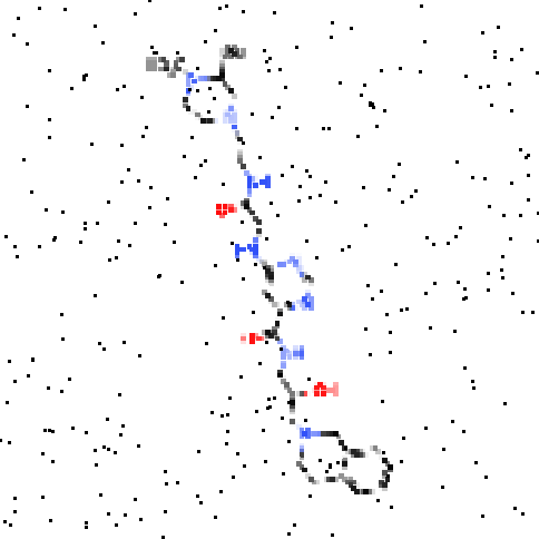 CC(C)(C)C1CN(CCNC(=O)CNc2cc(C(=O)NCC(O)CN3CCc4ccccc4C3)ncn2)CCN1C(=O)O